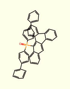 O=P(c1ccc(-c2ccccc2)cc1)(c1ccc(-c2ccccc2)cc1)c1c2ccccc2cc2c3ccccc3c3ccccc3c12